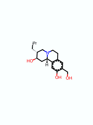 CC(C)C[C@@H]1CN2CCc3cc(CO)c(O)cc3[C@@H]2C[C@H]1O